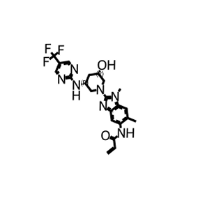 C=CC(=O)Nc1cc2nc(N3C[C@H](O)C[C@@H](Nc4ncc(C(F)(F)F)cn4)C3)n(C)c2cc1C